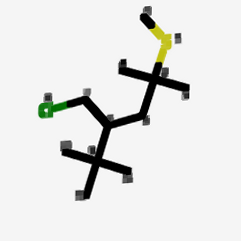 CSC(C)(C)CC(CCl)C(C)(C)C